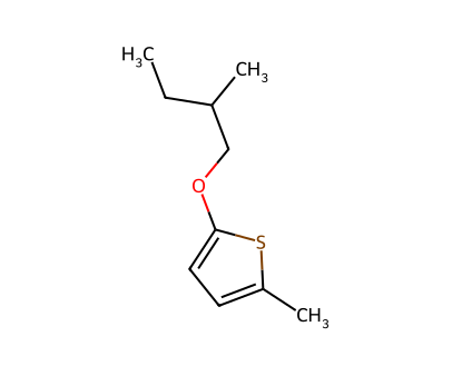 CCC(C)COc1ccc(C)s1